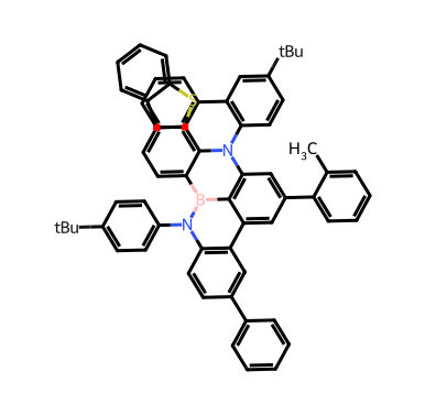 Cc1ccccc1-c1cc2c3c(c1)N(c1ccc(C(C)(C)C)cc1-c1ccccc1)c1c(ccc4c1sc1ccccc14)B3N(c1ccc(C(C)(C)C)cc1)c1ccc(-c3ccccc3)cc1-2